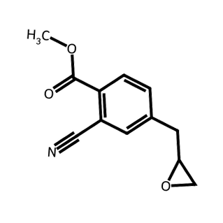 COC(=O)c1ccc(CC2CO2)cc1C#N